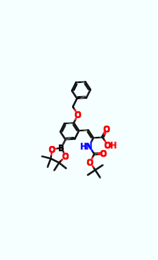 CC(C)(C)OC(=O)NC(=Cc1cc(B2OC(C)(C)C(C)(C)O2)ccc1OCc1ccccc1)C(=O)O